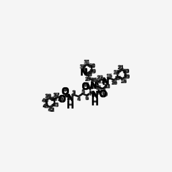 O=C(NCCCC[C@@H]1NC(=O)C2(CCN(CCc3ccccc3)CC2)N(CCc2ccccn2)C1=O)OCc1ccccc1